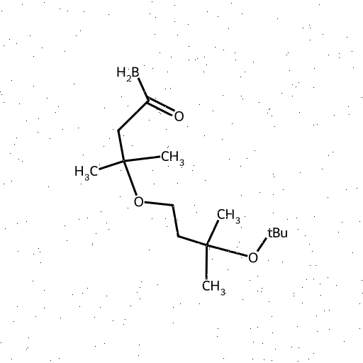 BC(=O)CC(C)(C)OCCC(C)(C)OC(C)(C)C